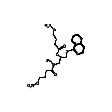 CC(C)N(CC(COc1cccc2ccccc12)OC(=O)CCCO[N+](=O)[O-])C(=O)CCCO[N+](=O)[O-]